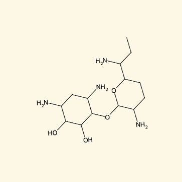 CCC(N)C1CCC(N)C(OC2C(N)CC(N)C(O)C2O)O1